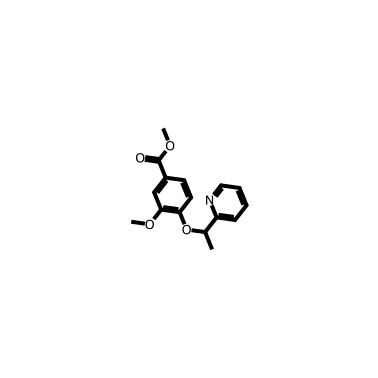 COC(=O)c1ccc(OC(C)c2ccccn2)c(OC)c1